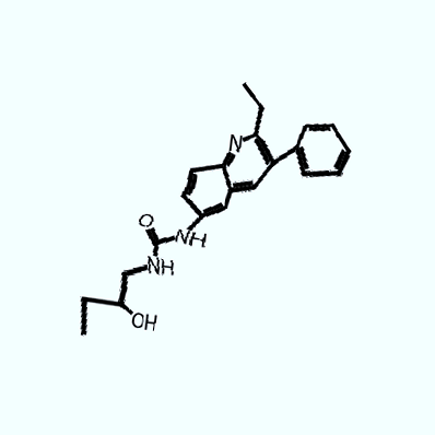 CCc1nc2ccc(NC(=O)NCC(O)CC)cc2cc1-c1ccccc1